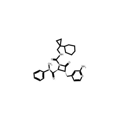 CN(C(=O)[C@@H]1[C@@H](Cc2ccnc(N)c2)C(=O)N1C(=O)NCC1(C2CCCCC2)CC1)c1ccccc1